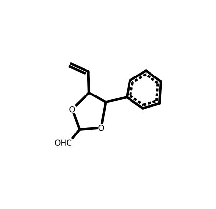 C=CC1OC(C=O)OC1c1ccccc1